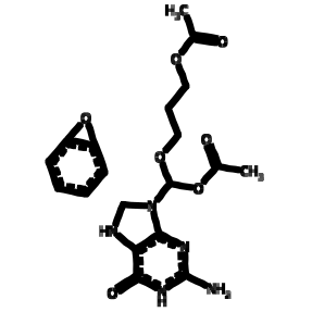 CC(=O)OCCCOC(OC(C)=O)N1CNc2c1nc(N)[nH]c2=O.c1ccc2c(c1)O2